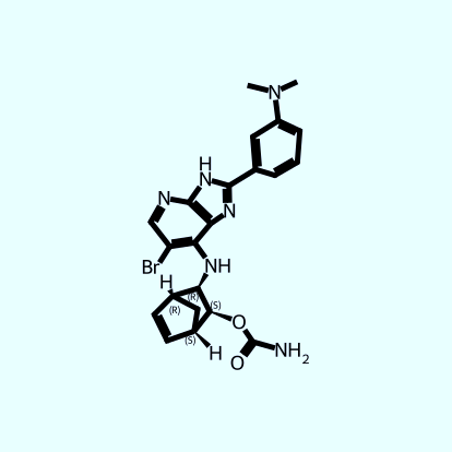 CN(C)c1cccc(-c2nc3c(N[C@H]4[C@@H](OC(N)=O)[C@@H]5C=C[C@H]4C5)c(Br)cnc3[nH]2)c1